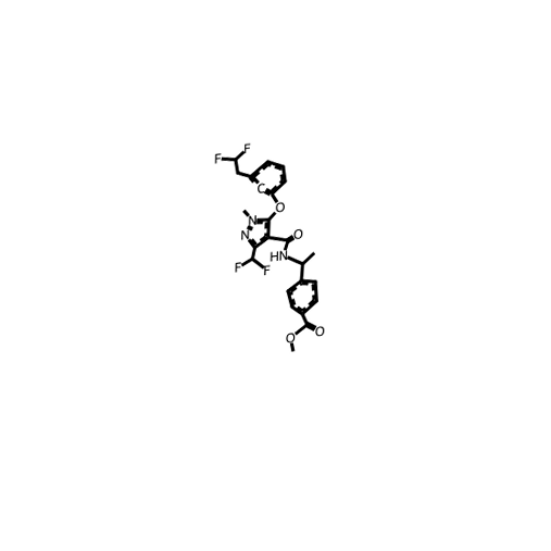 COC(=O)c1ccc(C(C)NC(=O)c2c(C(F)F)nn(C)c2Oc2cccc(CC(F)F)c2)cc1